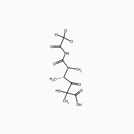 C[C@@H](C(=O)C(C)(O)C(=O)O)N(C)C(=O)NC(=O)C(Cl)(Cl)Cl